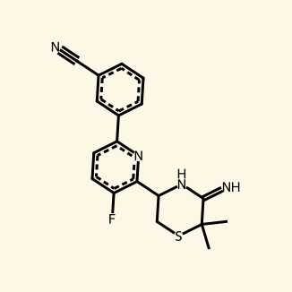 CC1(C)SCC(c2nc(-c3cccc(C#N)c3)ccc2F)NC1=N